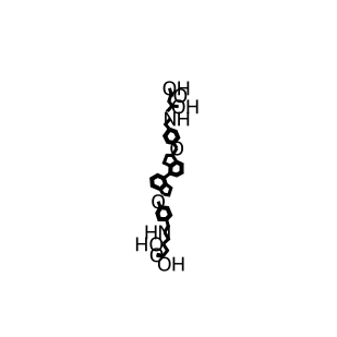 O=C(O)CC(O)CNCc1ccc(OC2CCc3c(-c4cccc5c4CCC5Oc4ccc(CNCC(O)CC(=O)O)cc4)cccc32)cc1